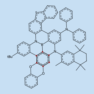 Cc1cc2c(cc1N1c3cc4c(cc3B3c5c(cc(N(c6ccccc6)c6ccccc6)cc51)-c1c(ccc5sc6ccccc6c15)N3c1ccc(C(C)(C)C)cc1-c1ccccc1)Oc1ccccc1O4)C(C)(C)CCC2(C)C